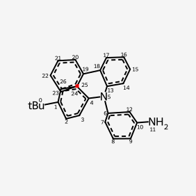 CC(C)(C)c1ccc(N(c2cccc(N)c2)c2ccccc2-c2ccccc2)cc1